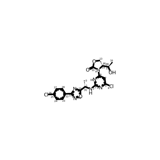 C[C@H](Nc1nc(Cl)cc(N2C(=O)OC[C@@H]2[C@@H](C)O)n1)c1nc(-c2ccc(Cl)cc2)no1